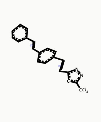 ClC(Cl)(Cl)c1nnc(/C=C/c2ccc(/C=C/c3ccccc3)cc2)o1